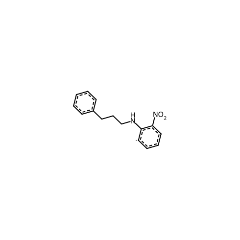 O=[N+]([O-])c1ccc[c]c1NCCCc1ccccc1